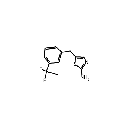 Nc1ncc(Cc2cccc(C(F)(F)F)c2)s1